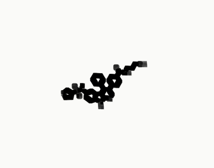 CN(c1ccc2[nH]c3ncc(-c4ccc(C(=O)NCCCO)cc4)c(-c4ccccc4)c3c2c1)S(=O)(=O)c1ccsc1